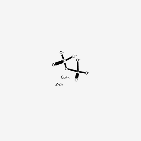 O=P([O-])([O-])OP(=O)([O-])[O-].[Co+2].[Zn+2]